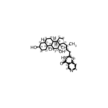 C[C@H](CCc1nc2ccncc2c(=O)[nH]1)[C@H]1CC[C@H]2[C@@H]3CC[C@@H]4C[C@H](O)CC[C@]4(C)C3C[C@H](O)[C@]12C